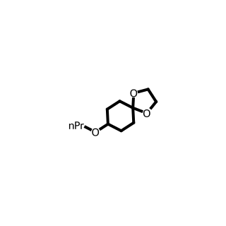 CCCOC1CCC2(CC1)OCCO2